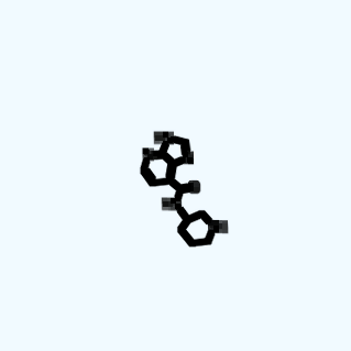 O=C(NC1CCCNC1)c1ccnc2[nH]cnc12